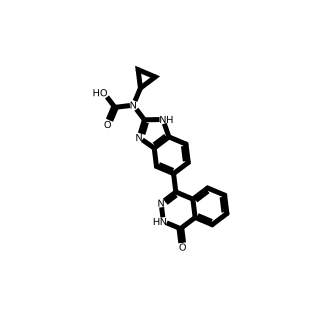 O=C(O)N(c1nc2cc(-c3n[nH]c(=O)c4ccccc34)ccc2[nH]1)C1CC1